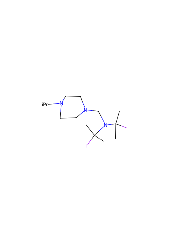 CC(C)N1CCN(CN(C(C)(C)I)C(C)(C)I)CC1